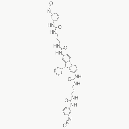 O=C=Nc1cccc(NC(=O)NCCCNC(=O)Nc2ccc3c(c2)C(c2ccccc2)c2cc(NC(=O)NCCCNC(=O)Nc4cccc(N=C=O)c4)ccc2-3)c1